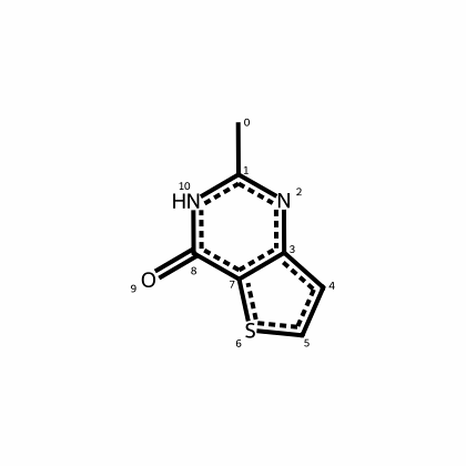 Cc1nc2ccsc2c(=O)[nH]1